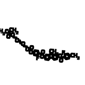 C=C(C)C(=O)OCCOCCOCCOC(=O)Oc1ccc(C(=O)Oc2ccc3c(c2)C(C)c2cc(OC(=O)c4ccc(C)cc4F)ccc2-3)c(F)c1